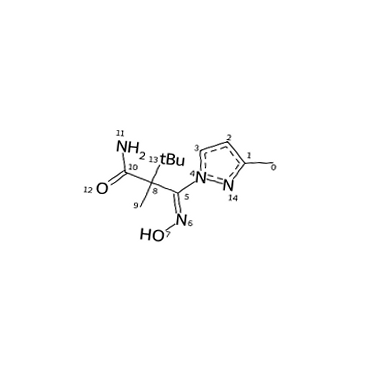 Cc1ccn(C(=NO)C(C)(C(N)=O)C(C)(C)C)n1